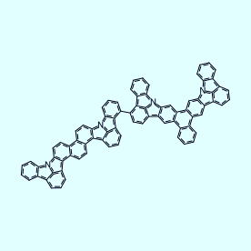 c1ccc2c(c1)c1cc3c4cccc5c6ccccc6n(c3cc1c1cc3c(cc21)c1ccc(-c2cccc6c2c2cccc7c8c9ccc%10c(ccc%11c%10c%10cccc%12c%13ccccc%13n%11c%12%10)c9ccc8n6c27)c2c6ccccc6n3c12)c54